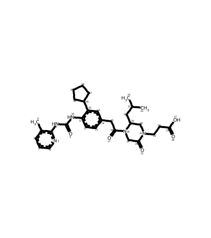 Cc1cccnc1NC(=O)Nc1ccc(CC(=O)N2CC(=O)N(CCC(=O)O)CC2CC(C)C)cc1C1CCCC1